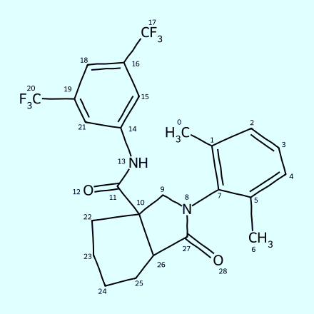 Cc1cccc(C)c1N1CC2(C(=O)Nc3cc(C(F)(F)F)cc(C(F)(F)F)c3)CCCCC2C1=O